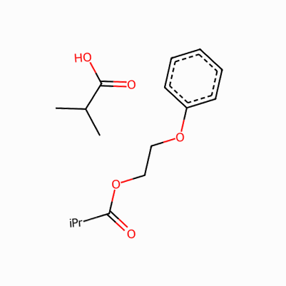 CC(C)C(=O)O.CC(C)C(=O)OCCOc1ccccc1